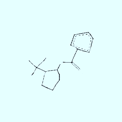 CC(C)(C)[C]1CCCC1NC(=O)c1ccccc1